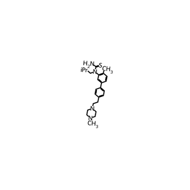 Cc1ccc(-c2ccc(CCN3CCN(C)CC3)cc2)cc1N(CC(C)C)C(N)=S